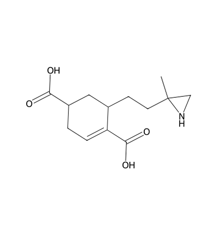 CC1(CCC2CC(C(=O)O)CC=C2C(=O)O)CN1